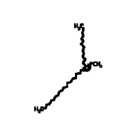 CCCCCCCCCCCCCCCCCCCN1C=CN(CC)C1CCCCCCCCCCCCC